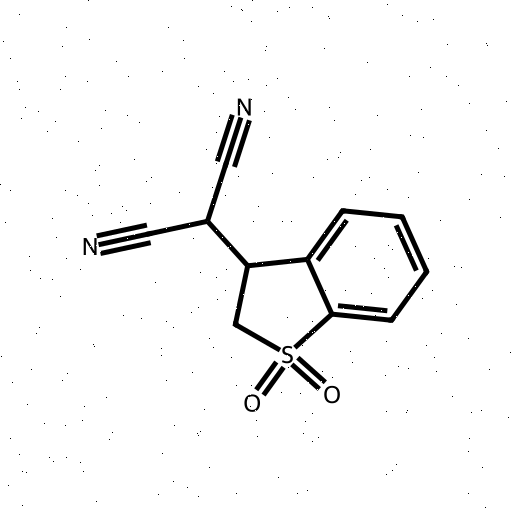 N#CC(C#N)C1CS(=O)(=O)c2ccccc21